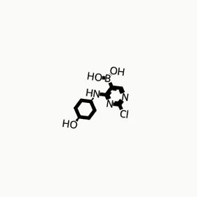 OB(O)c1cnc(Cl)nc1N[C@H]1CC[C@H](O)CC1